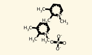 Cc1ccc[n+](C)c1C.Cc1ccc[n+](C)c1C.O=S(=O)([O-])[O-]